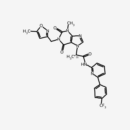 Cc1cc(Cn2c(=O)c3c(ncn3[C@@H](C)C(=O)Nc3cccc(-c4ccc(C(F)(F)F)cc4)n3)n(C)c2=O)no1